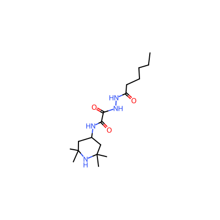 CCCCCC(=O)NNC(=O)C(=O)NC1CC(C)(C)NC(C)(C)C1